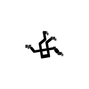 C=NC1(CC)C=CC1(CC)CCC